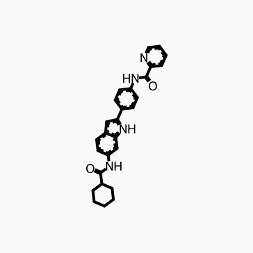 O=C(Nc1ccc(-c2cc3ccc(NC(=O)C4CCCCC4)cc3[nH]2)cc1)c1ccccn1